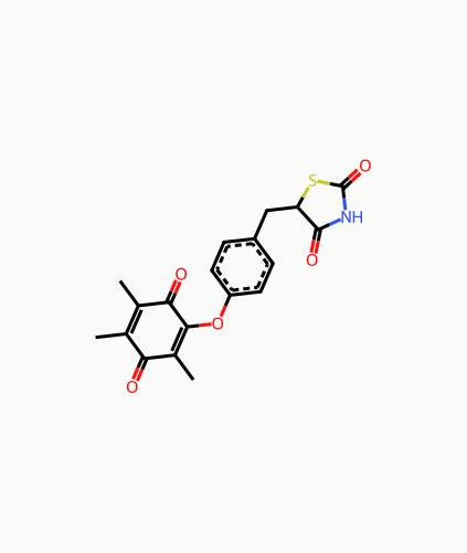 CC1=C(C)C(=O)C(Oc2ccc(CC3SC(=O)NC3=O)cc2)=C(C)C1=O